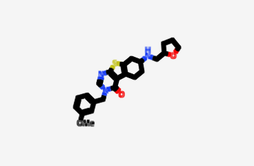 COc1cccc(Cn2cnc3sc4c(c3c2=O)CCC(NCC2CCCO2)C4)c1